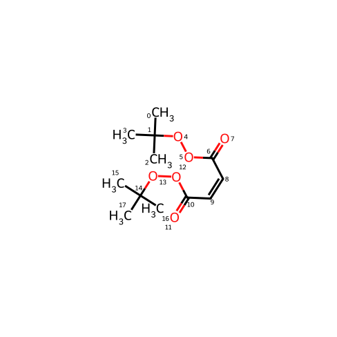 CC(C)(C)OOC(=O)/C=C\C(=O)OOC(C)(C)C